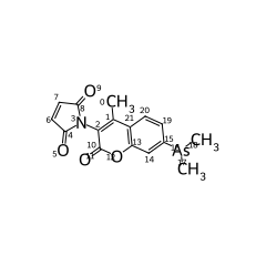 Cc1c(N2C(=O)C=CC2=O)c(=O)oc2cc([As](C)C)ccc12